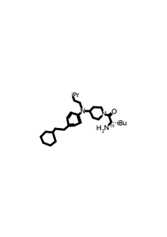 CCC(C)[C@H](N)C(=O)N1CCC(N(CCC(C)C)c2ccc(CCC3CCCCC3)cc2)CC1